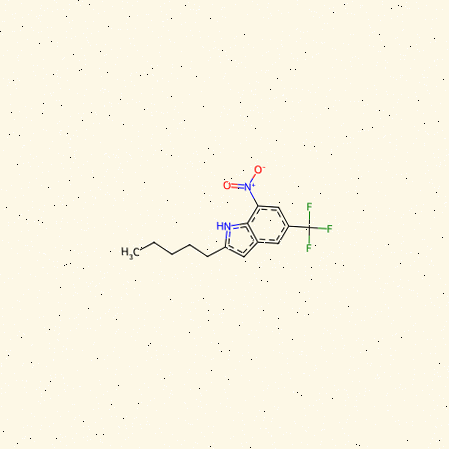 CCCCCc1cc2cc(C(F)(F)F)cc([N+](=O)[O-])c2[nH]1